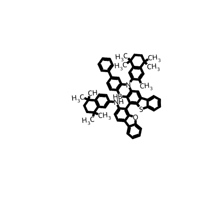 Cc1cc2c(cc1N1c3cc(-c4ccccc4)ccc3Bc3c1cc1c(sc4ccccc41)c3-c1c(Nc3ccc4c(c3)C(C)(C)CCC4(C)C)ccc3c1oc1ccccc13)C(C)(C)CCC2(C)C